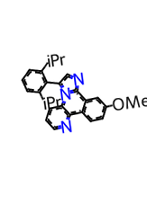 COc1ccc2c(c1)c1ncc(-c3c(C(C)C)cccc3C(C)C)n1c1cccnc21